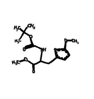 COC(=O)C(Cc1ccc(OC)s1)NC(=O)OC(C)(C)C